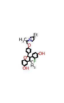 CC[C@@H]1CCN([C@@H](C)COc2ccc(C3Oc4ccc(O)cc4C(C)=C3c3ccc(O)cc3F)cc2)C1